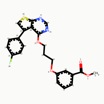 COC(=O)c1cccc(OCCCOc2ncnc3scc(-c4ccc(F)cc4)c23)c1